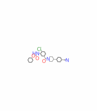 N#Cc1ccc(C2CCN(C(=O)c3ccc(Cl)c(NC(=O)Oc4ccccc4)c3)CC2)cc1